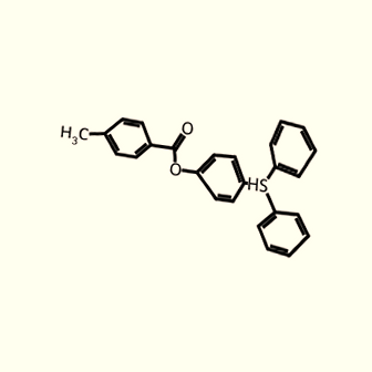 Cc1ccc(C(=O)Oc2ccc([SH](c3ccccc3)c3ccccc3)cc2)cc1